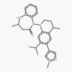 CC1CC(=O)N(N2CCC(C)c3cc(-c4cnn(C)c4)c(C(F)F)cc32)c2ccccc2N1